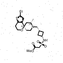 CCc1cc2c(s1)CCO[C@@]21CCN(C[C@H]2C[C@@H](NS(=O)(=O)CC(=O)OC)C2)[C@@H](C)C1